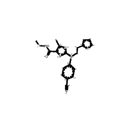 CSNC(=O)c1nc(N(CCc2cccs2)c2ccc(C#N)cc2)sc1C